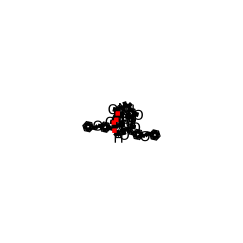 CC(C(C)N1CC(=O)N(COC(=O)C(Cc2ccc(OCc3ccccc3)cc2)NC(=O)OC(C)(C)C)C(=O)C1)N1CC(=O)N(COC(=O)C(Cc2ccc(OCc3ccccc3)cc2)NC(=O)OC(C)(C)C)C(=O)C1